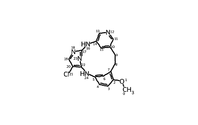 COc1ccc2cc1CCc1cncc(c1)Nc1ncc(Cl)c(n1)N2